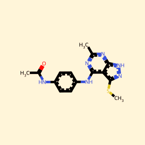 CSc1n[nH]c2nc(C)nc(Nc3ccc(NC(C)=O)cc3)c12